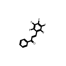 O=C(C=Cc1c(F)c(F)c(F)c(F)c1F)c1ccccc1